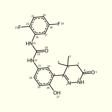 CC1(C)CC(=O)NN=C1c1cc(NC(=O)Nc2cc(F)ccc2F)ccc1O